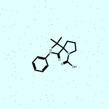 CC(C)(C)C1(C(=O)Nc2ccccc2)CCCN1C(=O)O